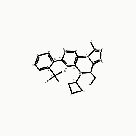 CC[C@@H]1c2nnc(C)n2-c2cnc(-c3ccccc3C(F)(F)F)nc2N1C1CCC1